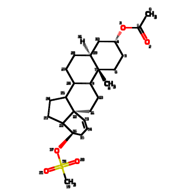 CC(=O)O[C@@H]1CC[C@]2(C)C3CC[C@]45C=CC[C@@H](OS(C)(=O)=O)C4CCC5C3CC[C@H]2C1